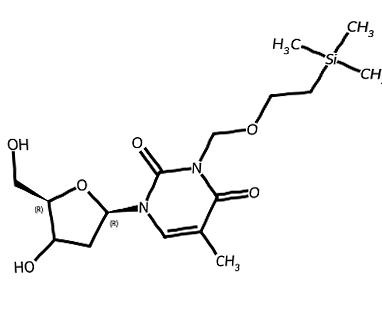 Cc1cn([C@H]2CC(O)[C@@H](CO)O2)c(=O)n(COCC[Si](C)(C)C)c1=O